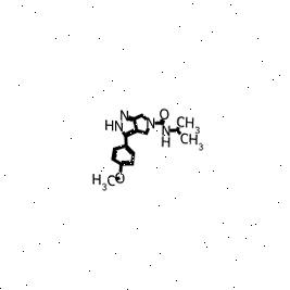 COc1ccc(-c2[nH]nc3c2CN(C(=O)NC(C)C)C3)cc1